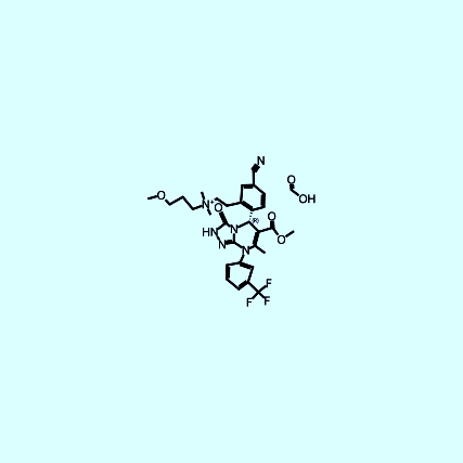 COCCC[N+](C)(C)CCc1cc(C#N)ccc1[C@@H]1C(C(=O)OC)=C(C)N(c2cccc(C(F)(F)F)c2)c2n[nH]c(=O)n21.O=CO